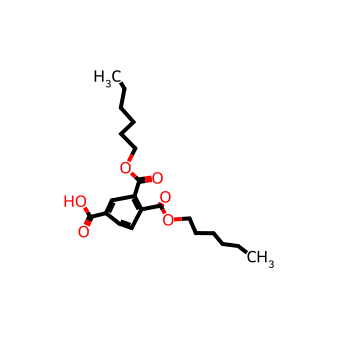 CCCCCCOC(=O)c1ccc(C(=O)O)cc1C(=O)OCCCCCC